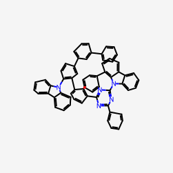 c1ccc(-c2cccc(-c3ccc(-n4c5ccccc5c5ccccc54)c(-c4cccc(-c5nc(-c6ccccc6)nc(-n6c7ccccc7c7cccc(-c8ccccc8)c76)n5)c4)c3)c2)cc1